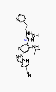 CC(C)Nc1cc(-n2ncc3cc(C#N)cnc32)ncc1/C(=C/NCCc1cccnc1)N=N